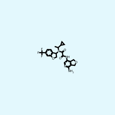 CC(C1CC1)N(C(=O)C(=O)Nc1cnc(N)c2c1COC2)C1COc2cc(C(F)(F)F)ccc21